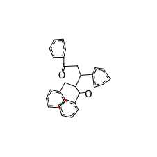 O=C(CC(c1ccccc1)C(Cc1ccccc1)C(=O)c1ccccc1)c1ccccc1